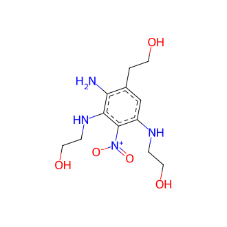 Nc1c(CCO)cc(NCCO)c([N+](=O)[O-])c1NCCO